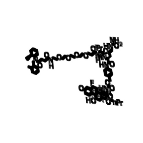 C#Cc1ccccc1N(Cc1ccccc1C)C(=O)CCC(=O)NCCOCCOCCOCCOCCC(=O)N[C@H](C(=O)N[C@@H](CCCNC(N)=O)C(=O)Nc1ccc(COC(=O)NCC(=O)[C@@]23OC(CCC)O[C@@H]2C[C@H]2[C@@H]4C[C@H](F)C5=CC(=O)C=C[C@]5(C)[C@@]4(F)[C@@H](O)C[C@@]23C)cc1)C(C)C